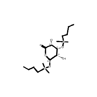 CCCC[Si](C)(C)O[C@H]1OC(=O)[C@H](Cl)[C@H](O[Si](C)(C)CCCC)[C@@H]1O